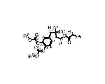 CC(C)CC(=O)O[C@@H](C)CC(N)(Cc1ccc(OC(=O)OC(C)C)c(OC(=O)OC(C)C)c1)C(=O)O